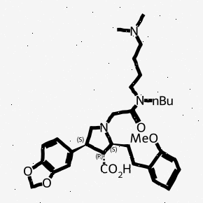 CCCCN(CCCCN(C)C)C(=O)CN1C[C@H](c2ccc3c(c2)OCO3)[C@@H](C(=O)O)[C@@H]1CCc1ccccc1OC